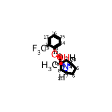 C[C@@]1(O)C[C@H]2CC[C@@H](C1)N2CCOc1ccccc1C(F)(F)F